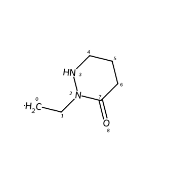 [CH2]CN1NCCCC1=O